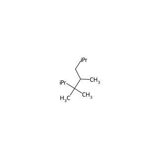 [CH2]C(C)C(C)(C)C(C)CC(C)C